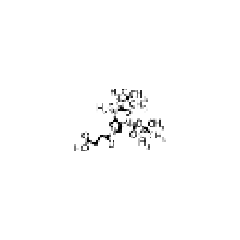 C=[N+](C(=O)OC(C)(C)C)[C@H]1CN(C(=O)CCC(=O)O)C[C@@H]1NC(=O)OC(C)(C)C